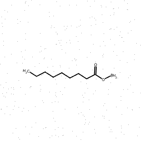 BOC(=O)CCCCCCCC